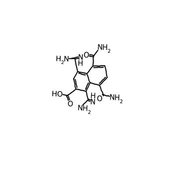 N=C(N)c1cc(C(=O)O)c(C(=N)N)c2c(C(N)=O)ccc(C(N)=O)c12